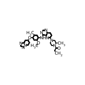 C=CC(=O)N1CCN(c2ccc3ncnc(Nc4cc(C)c(Oc5ccn6ncnc6c5)cc4OC)c3n2)C[C@H]1C